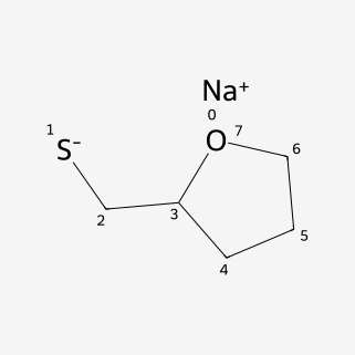 [Na+].[S-]CC1CCCO1